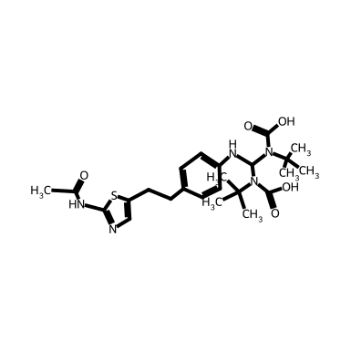 CC(=O)Nc1ncc(CCc2ccc(NC(N(C(=O)O)C(C)(C)C)N(C(=O)O)C(C)(C)C)cc2)s1